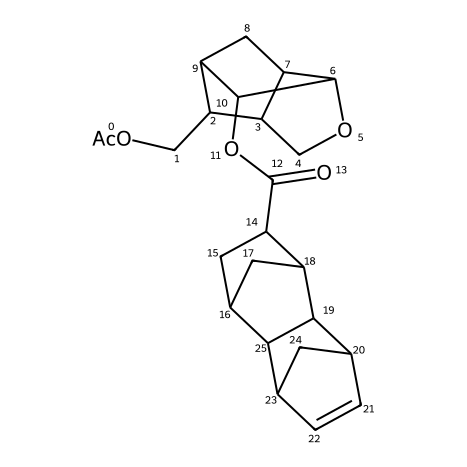 CC(=O)OCC1C2COC3C2CC1C3OC(=O)C1CC2CC1C1C3C=CC(C3)C21